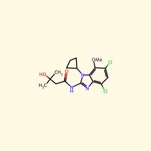 COc1c(Cl)cc(Cl)c2nc(NC(=O)CC(C)(C)O)n(C3CCC3)c12